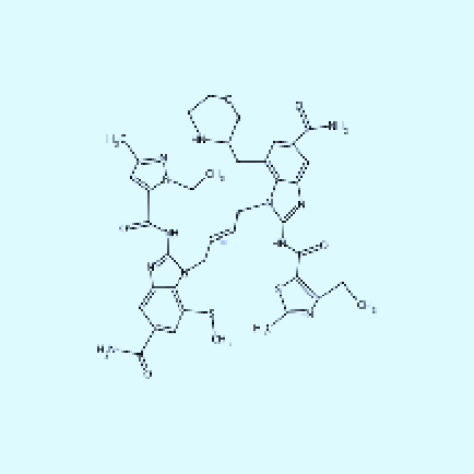 CCc1nc(C)sc1C(=O)Nc1nc2cc(C(N)=O)cc(CC3COCCN3)c2n1C/C=C/Cn1c(NC(=O)c2cc(C)nn2CC)nc2cc(C(N)=O)cc(SC)c21